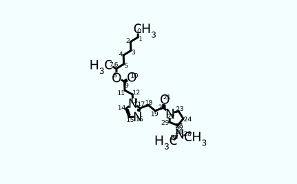 CCCCCCC(C)OC(=O)CCn1ccnc1CCC(=O)N1CC[C@H](N(C)C)C1